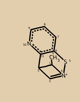 CC1C2C=[N+]1Sc1cccnc12